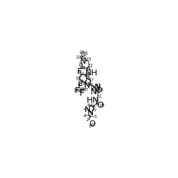 COCC(C)(C)n1cc(C(=O)NCc2nc(-c3cc4c(N[C@H]5CCN(C(C)(C)C)C[C@@H]5F)cccc4n3CC(F)(F)F)no2)cn1